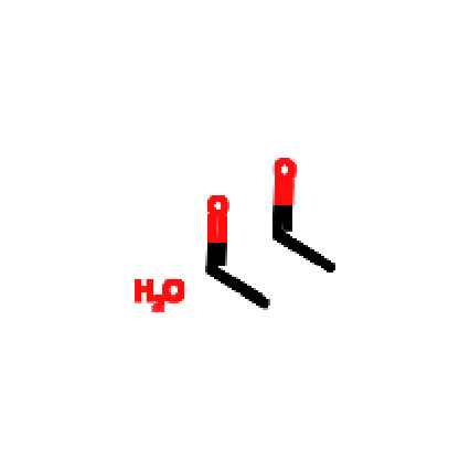 CC=O.CC=O.O